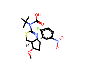 CO[C@@H]1CC[C@]2(c3cc([N+](=O)[O-])ccc3F)N=C(N(C(=O)O)C(C)(C)C)SC[C@H]12